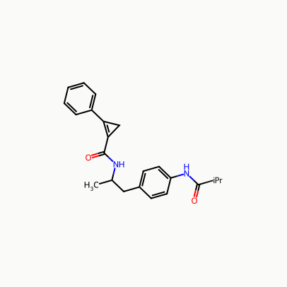 CC(Cc1ccc(NC(=O)C(C)C)cc1)NC(=O)C1=C(c2ccccc2)C1